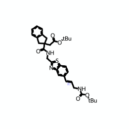 CC(C)(C)OC(=O)CC1(C(=O)NCc2nc3cc(/C=C/CNC(=O)OC(C)(C)C)ccc3s2)Cc2ccccc2C1